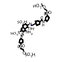 Nc1c(N=Nc2ccc(S(=O)(=O)CCOS(=O)(=O)O)cc2)c(S(=O)(=O)O)cc2cc(S(=O)(=O)O)c(/N=C/c3ccc(C(=O)Nc4cccc(S(=O)(=O)CCOS(=O)(=O)O)c4)cc3)c(O)c12